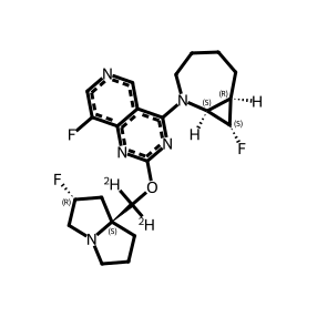 [2H]C([2H])(Oc1nc(N2CCCC[C@H]3[C@H](F)[C@H]32)c2cncc(F)c2n1)[C@@]12CCCN1C[C@H](F)C2